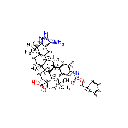 CC1(C)CCC2(C(=O)O)CCC3(C)C(=C(c4ccc(NC(=O)OCc5ccccc5)c(F)c4)CC4C5(C)Cc6c(n[nH]c6N)C(C)(C)C5CCC43C)C2C1